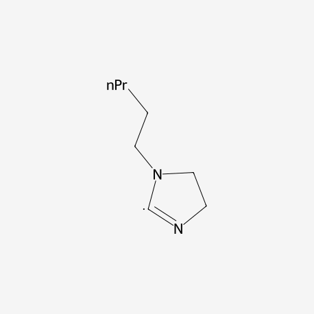 CCCCCN1[C]=NCC1